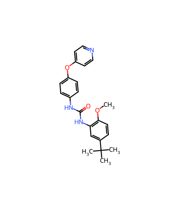 COc1ccc(C(C)(C)C)cc1NC(=O)Nc1ccc(Oc2ccncc2)cc1